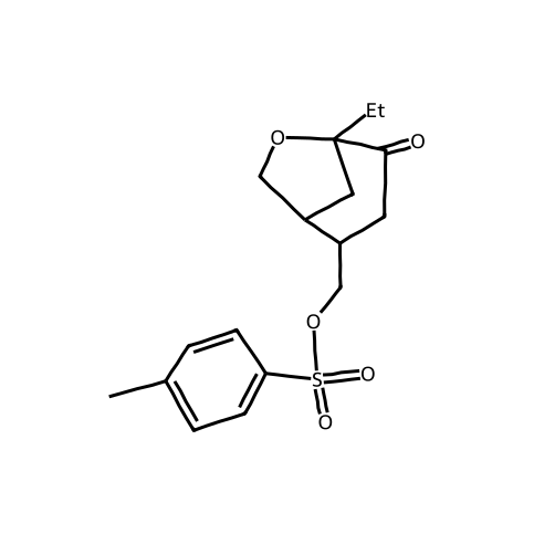 CCC12CC(CO1)C(COS(=O)(=O)c1ccc(C)cc1)CC2=O